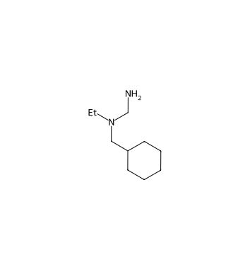 CCN(CN)CC1CCCCC1